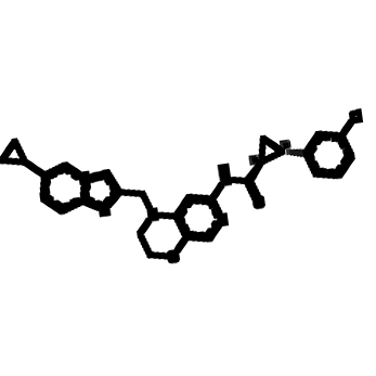 O=C(Nc1cc2c(cn1)OCCN2Cc1cn2cc(C3CC3)ccc2n1)[C@H]1C[C@@H]1c1cccc(Cl)c1